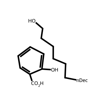 CCCCCCCCCCCCCCCCO.O=C(O)c1ccccc1O